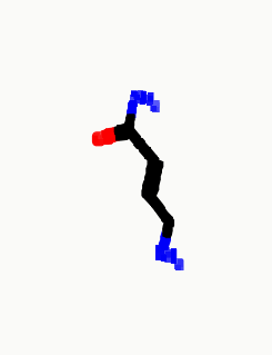 NCC=CC(N)=O